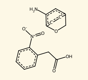 Nc1cc2ccc1OC2.O=C(O)Cc1ccccc1[N+](=O)[O-]